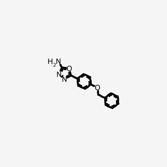 Nc1nnc(-c2ccc(OCc3ccccc3)cc2)o1